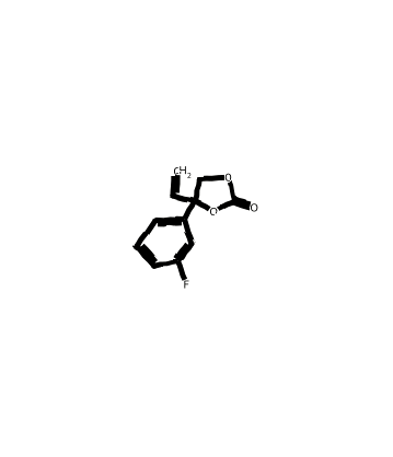 C=CC1(c2cccc(F)c2)COC(=O)O1